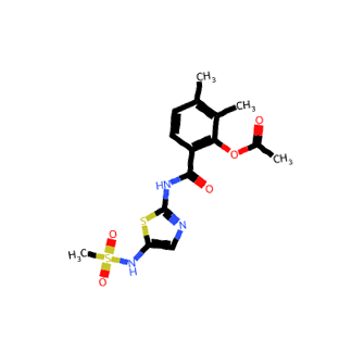 CC(=O)Oc1c(C(=O)Nc2ncc(NS(C)(=O)=O)s2)ccc(C)c1C